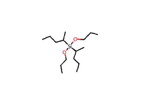 CCCO[Si](OCCC)(C(C)CCC)C(C)CCC